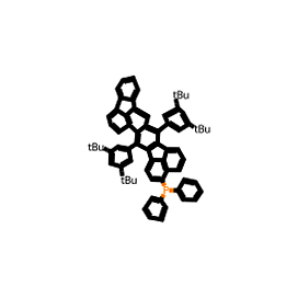 CC(C)(C)c1cc(-c2c3cc4c5ccccc5c5cccc(c3c(-c3cc(C(C)(C)C)cc(C(C)(C)C)c3)c3c6ccc(P(c7ccccc7)c7ccccc7)c7cccc(c23)c76)c54)cc(C(C)(C)C)c1